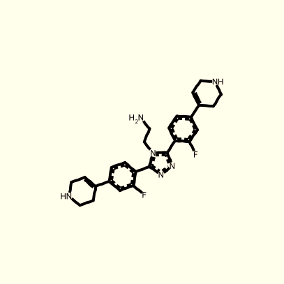 NCCn1c(-c2ccc(C3=CCNCC3)cc2F)nnc1-c1ccc(C2=CCNCC2)cc1F